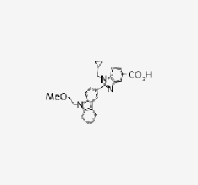 COCCn1c2ccccc2c2cc(-c3nc4cc(C(=O)O)ccc4n3CC3CC3)ccc21